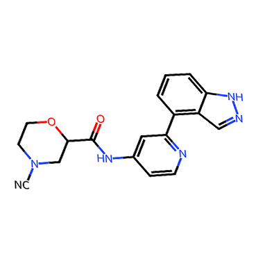 N#CN1CCOC(C(=O)Nc2ccnc(-c3cccc4[nH]ncc34)c2)C1